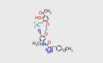 COc1ccc(Cn2nnnc2C(=O)Nc2cc(OCCCOc3ccc(C(C)=O)c(O)c3CCC(F)(F)F)c(C#N)cc2C)cc1